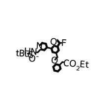 CCOC(=O)Cc1ccccc1OCc1cc(-c2ccnc(CN[S+]([O-])C(C)(C)C)c2)c2occ(F)c2c1